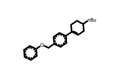 CCCCC1CC=C(c2ccc(COc3ccccc3)cc2)CC1